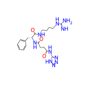 N=C(N)NCCCCNC(=O)[C@@H](Cc1ccccc1)NC(=O)CCC(=O)Nc1nnn[nH]1